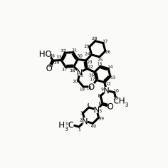 CCN1CCN(C(=O)CN(CC)c2cccc3c2OCCn2c-3c(C3CCCCC3)c3ccc(C(=O)O)cc32)CC1